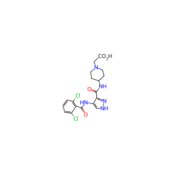 O=C(O)CN1CCC(NC(=O)c2n[nH]cc2NC(=O)c2c(Cl)cccc2Cl)CC1